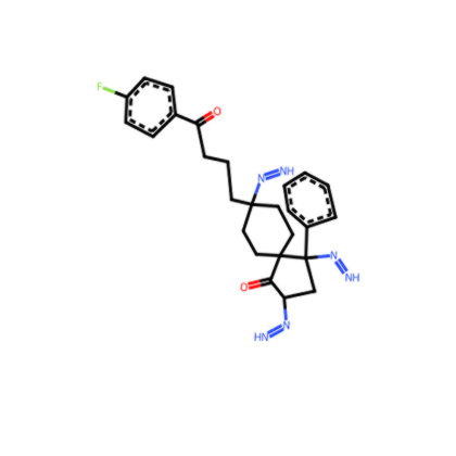 N=NC1CC(N=N)(c2ccccc2)C2(CCC(CCCC(=O)c3ccc(F)cc3)(N=N)CC2)C1=O